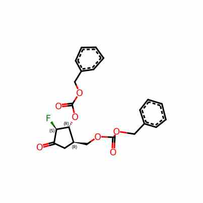 O=C(OCc1ccccc1)OC[C@H]1CC(=O)[C@@H](F)[C@@H]1OC(=O)OCc1ccccc1